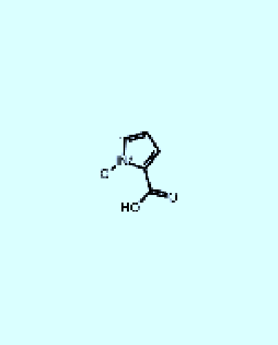 O=C(O)C1=CC=[C][NH+]1[O-]